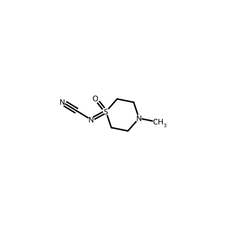 CN1CCS(=O)(=NC#N)CC1